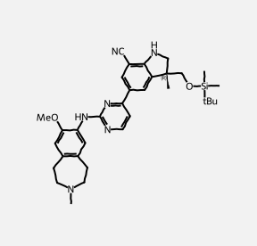 COc1cc2c(cc1Nc1nccc(-c3cc(C#N)c4c(c3)[C@@](C)(CO[Si](C)(C)C(C)(C)C)CN4)n1)CCN(C)CC2